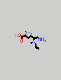 C=CCN(C)/C(=C\N)CC[C@H](N)C(=O)O